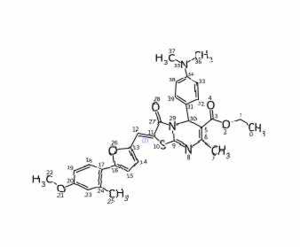 CCOC(=O)C1=C(C)N=c2s/c(=C\c3ccc(-c4ccc(OC)cc4C)o3)c(=O)n2C1c1ccc(N(C)C)cc1